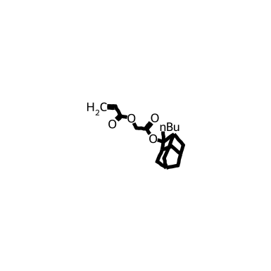 C=CC(=O)OCC(=O)OC1(CCCC)C2CC3CC(C2)CC1C3